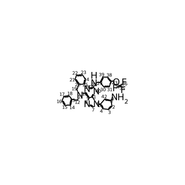 Nc1cccc(-n2cnc3c(N(Cc4ccccc4)Cc4ccccc4)nc(Nc4ccc(OC(F)(F)F)cc4)nc32)c1